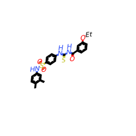 CCOc1cccc(C(=O)NC(=S)Nc2ccc(S(=O)(=O)Nc3ccc(C)c(C)c3)cc2)c1